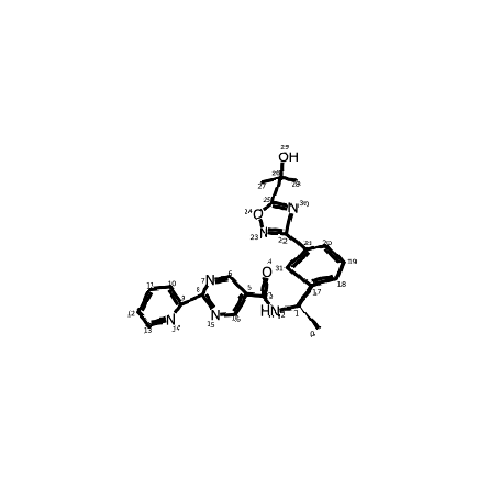 C[C@@H](NC(=O)c1cnc(-c2ccccn2)nc1)c1cccc(-c2noc(C(C)(C)O)n2)c1